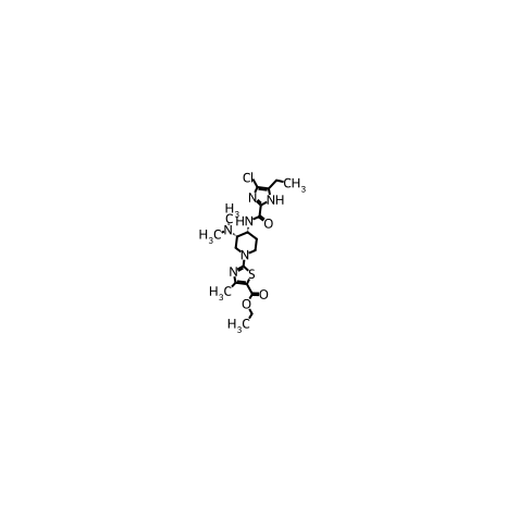 CCOC(=O)c1sc(N2CC[C@@H](NC(=O)c3nc(Cl)c(CC)[nH]3)[C@@H](N(C)C)C2)nc1C